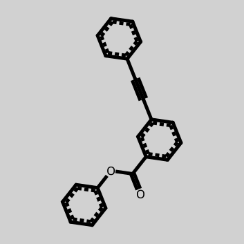 O=C(Oc1ccccc1)c1cccc(C#Cc2ccccc2)c1